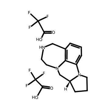 O=C(O)C(F)(F)F.O=C(O)C(F)(F)F.c1cc2c3c(c1)N1CCC[C@@H]1CN3CCNC2